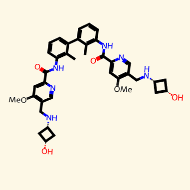 COc1cc(C(=O)Nc2cccc(-c3cccc(NC(=O)c4cc(OC)c(CN[C@H]5C[C@@H](O)C5)cn4)c3C)c2C)ncc1CN[C@H]1C[C@@H](O)C1